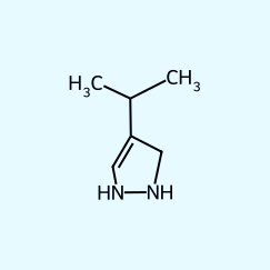 CC(C)C1=CNNC1